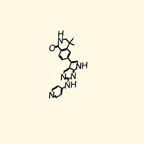 CC1(C)CNC(=O)c2ccc(-c3c[nH]c4nc(Nc5ccncc5)ncc34)cc21